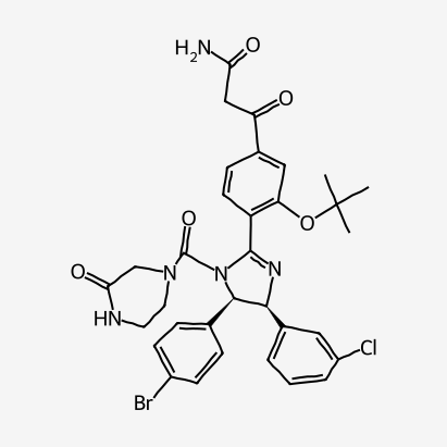 CC(C)(C)Oc1cc(C(=O)CC(N)=O)ccc1C1=N[C@@H](c2cccc(Cl)c2)[C@@H](c2ccc(Br)cc2)N1C(=O)N1CCNC(=O)C1